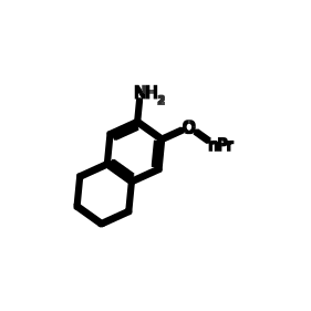 CCCOc1cc2c(cc1N)CCCC2